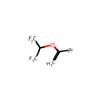 C=C(OC(C(F)(F)F)C(F)(F)F)C(C)C